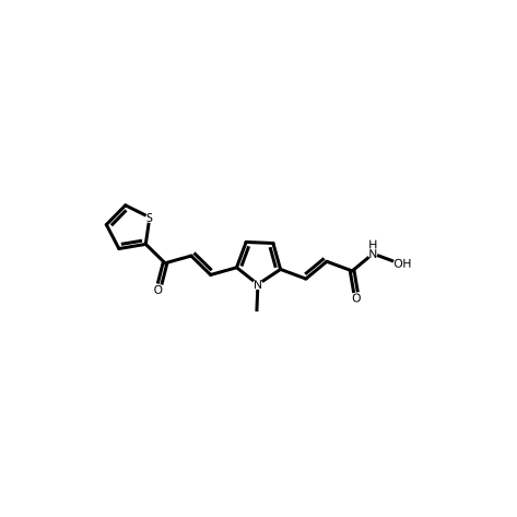 Cn1c(/C=C/C(=O)NO)ccc1/C=C/C(=O)c1cccs1